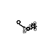 CN1C(=O)C(=Cc2ccc(OCCCCC3CCCCC3)c(Br)c2)C(=O)N(C)C1=O